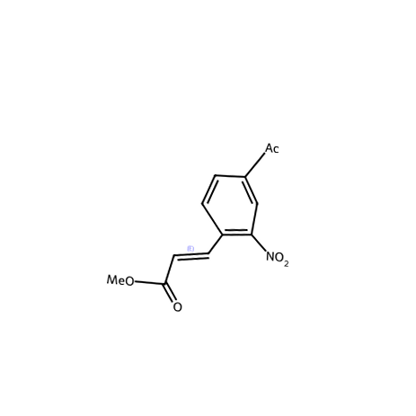 COC(=O)/C=C/c1ccc(C(C)=O)cc1[N+](=O)[O-]